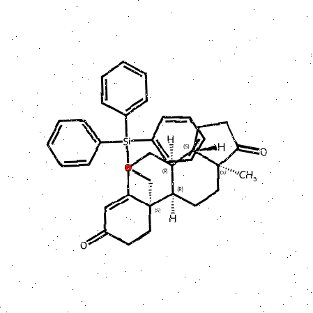 C[C@]12CC[C@@H]3[C@@H](CCC4=CC(=O)CC[C@@]43CO[Si](c3ccccc3)(c3ccccc3)c3ccccc3)[C@@H]1CCC2=O